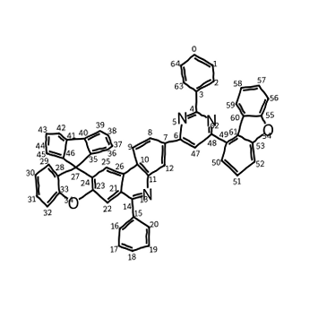 c1ccc(-c2nc(-c3ccc4c(c3)nc(-c3ccccc3)c3cc5c(cc34)C3(c4ccccc4O5)c4ccccc4-c4ccccc43)cc(-c3cccc4oc5ccccc5c34)n2)cc1